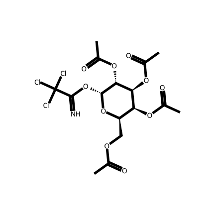 CC(=O)OC[C@H]1O[C@H](OC(=N)C(Cl)(Cl)Cl)[C@H](OC(C)=O)[C@@H](OC(C)=O)[C@H]1OC(C)=O